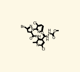 COC(=O)NNC(=O)c1cc(Cl)nc(C)c1NC(=O)C1CC(Br)=NN1c1ncccc1Cl